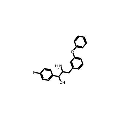 NC(Cc1cccc(Oc2ccccc2)c1)C(O)c1ccc(F)cc1